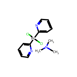 CN(C)C.[Cl][Pt]([Cl])([c]1ccccn1)[c]1ccccn1